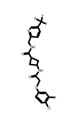 O=C(COc1ccc(Cl)c(F)c1)NC1CC(C(=O)NCc2ccc(C(F)(F)F)cn2)C1